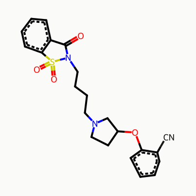 N#Cc1ccccc1OC1CCN(CCCCN2C(=O)c3ccccc3S2(=O)=O)C1